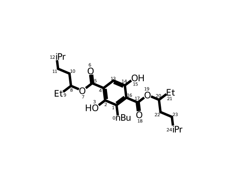 CCCCc1c(O)c(C(=O)OC(CC)CCC(C)C)cc(O)c1C(=O)OC(CC)CCC(C)C